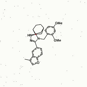 COc1ccc(CN2C(c3ccc4occ(C)c4c3)=NN[C@@]23CC2CCC3CC2)c(OC)c1